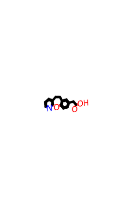 O=C(O)Cc1ccc2c(c1)CCc1cccnc1O2